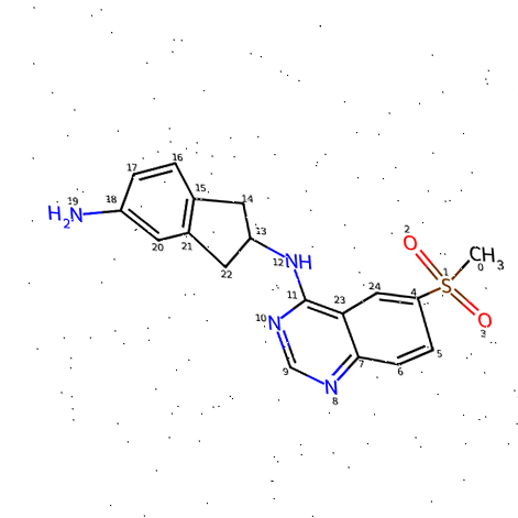 CS(=O)(=O)c1ccc2ncnc(NC3Cc4ccc(N)cc4C3)c2c1